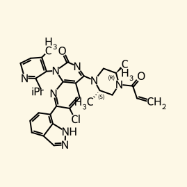 C=CC(=O)N1C[C@H](C)N(c2nc(=O)n(-c3c(C)ccnc3C(C)C)c3nc(-c4cccc5cn[nH]c45)c(Cl)cc23)C[C@H]1C